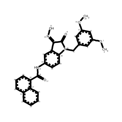 COc1cc(CN2C(=O)/C(=N\O)c3cc(NC(=O)c4cccc5ccccc45)ccc32)cc(OC)c1